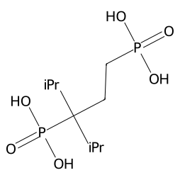 CC(C)C(CCP(=O)(O)O)(C(C)C)P(=O)(O)O